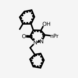 CCCc1nn(Cc2ccccc2)c(=O)c(-c2ccccc2C)c1O